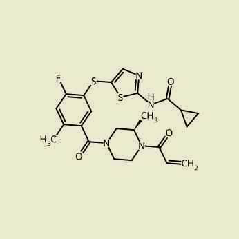 C=CC(=O)N1CCN(C(=O)c2cc(Sc3cnc(NC(=O)C4CC4)s3)c(F)cc2C)C[C@H]1C